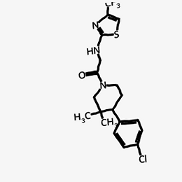 CC1(C)CN(C(=O)CNc2nc(C(F)(F)F)cs2)CCC1c1ccc(Cl)cc1